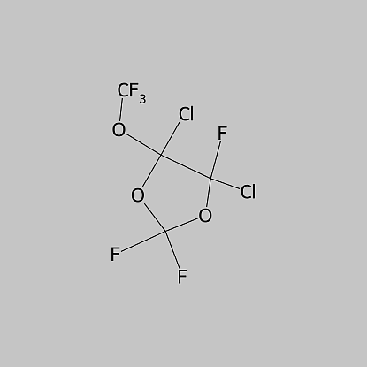 FC(F)(F)OC1(Cl)OC(F)(F)OC1(F)Cl